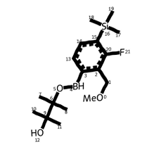 COCc1c(BOC(C)(C)C(C)(C)O)ccc([Si](C)(C)C)c1F